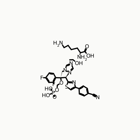 CCO.C[C@@H](c1nc(-c2ccc(C#N)cc2)cs1)[C@@](Cn1cncn1)(OCOP(=O)(O)O)c1ccc(F)cc1F.NCCCC[C@H](N)C(=O)O